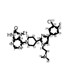 CCn1c(=O)[nH]c2ncnc(N3CCC(c4nc(-c5ccc(F)c(Cl)c5)cn4CCN(C)C)CC3)c21